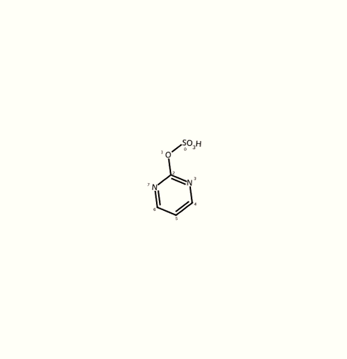 O=S(=O)(O)Oc1ncccn1